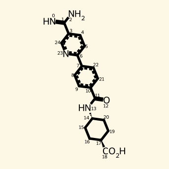 N=C(N)c1ccc(-c2ccc(C(=O)N[C@H]3CC[C@H](C(=O)O)CC3)cc2)nc1